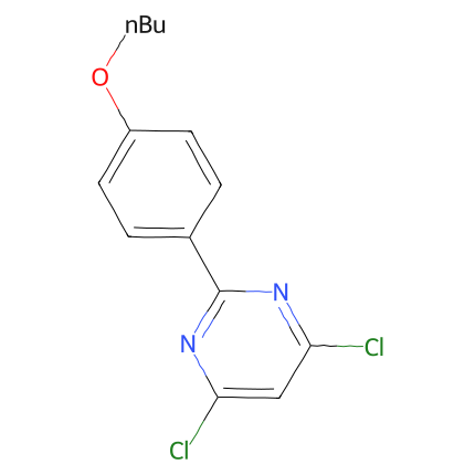 CCCCOc1ccc(-c2nc(Cl)cc(Cl)n2)cc1